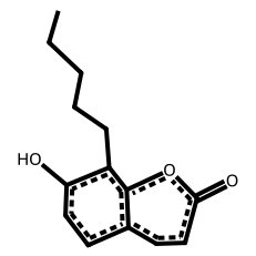 CCCCCc1c(O)ccc2ccc(=O)oc12